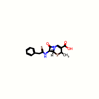 CC1S[C@@H]2C(NC(=S)Cc3ccccc3)C(=O)N2C=C1C(=O)O